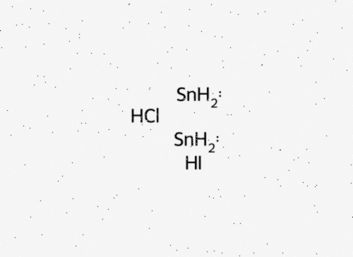 Cl.I.[SnH2].[SnH2]